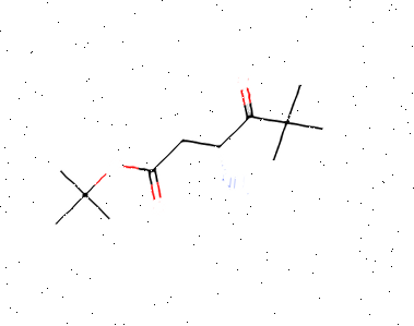 CC(C)(C)OC(=O)C[C@@H](N)C(=O)C(C)(C)C